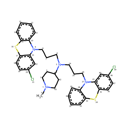 CN1CCC(N(CCCN2c3ccccc3Sc3ccc(Cl)cc32)CCCN2c3ccccc3Sc3ccc(Cl)cc32)CC1